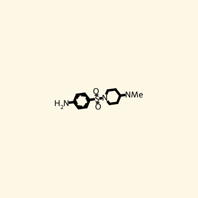 CNC1CCN(S(=O)(=O)c2ccc(N)cc2)CC1